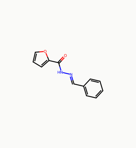 O=C(NN=Cc1ccccc1)c1ccco1